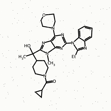 CCc1nc2ccccc2n1-c1nc(N2CCOCC2)c2nc(C(C)(O)C3CCN(C(=O)C4CC4)CC3)n(C)c2n1